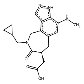 CBc1cc2c(c3cn[nH]c13)CN(CC1CC1)C(=O)[C@H](CC(=O)O)C2